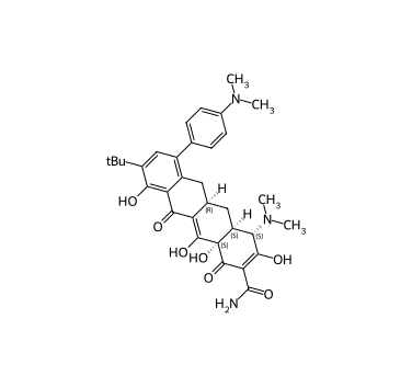 CN(C)c1ccc(-c2cc(C(C)(C)C)c(O)c3c2C[C@H]2C[C@H]4[C@H](N(C)C)C(O)=C(C(N)=O)C(=O)[C@@]4(O)C(O)=C2C3=O)cc1